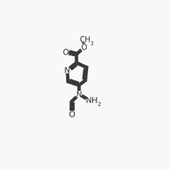 COC(=O)c1ccc(N(N)C=O)cn1